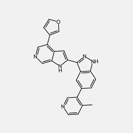 Cc1ccncc1-c1ccc2[nH]nc(-c3cc4c(-c5ccoc5)cncc4[nH]3)c2c1